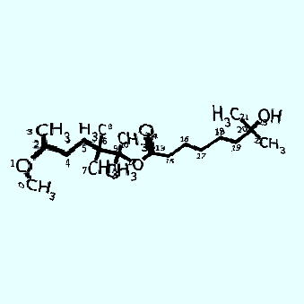 COC(C)CCC(C)(C)C(C)(C)OC(=O)CCCCCC(C)(C)O